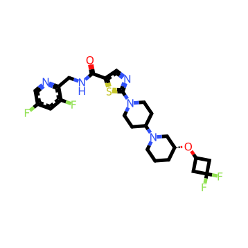 O=C(NCc1ncc(F)cc1F)c1cnc(N2CCC(N3CCC[C@@H](OC4CC(F)(F)C4)C3)CC2)s1